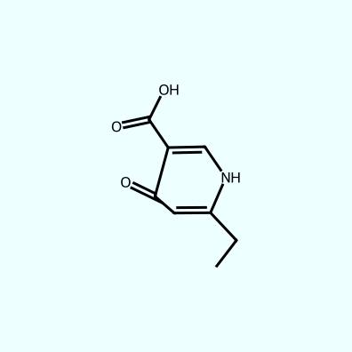 CCc1cc(=O)c(C(=O)O)c[nH]1